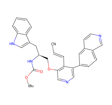 CC(C)(C)OC(=O)N[C@H](COc1cncc(-c2ccc3cnccc3c2)c1C=CC#N)Cc1c[nH]c2ccccc12